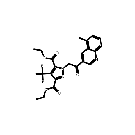 CCOC(=O)c1nn(CC(=O)c2cnc3cccc(C)c3c2)c(C(=O)OCC)c1C(F)(F)F